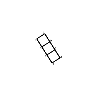 [C]12C3C4[C]5C3C1C5C24